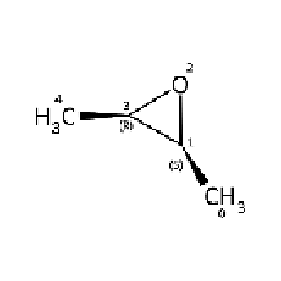 C[C@@H]1O[C@@H]1C